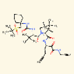 C#CCCC(NC(=O)[C@@H]1[C@@H]2[C@H](CN1C(=O)[C@@H](NC(=O)NC1(CS(=O)(=O)C(C)(C)C)CCCCC1)C(C)(C)C)C2(C)C)C(=O)C(=O)NCC#C